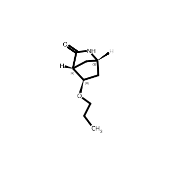 CCCO[C@@H]1C[C@@H]2C[C@H]1C(=O)N2